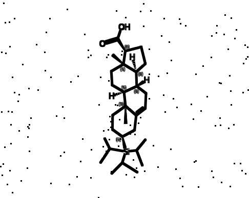 CC(C)[Si](C(C)C)(C(C)C)[C@H]1CC[C@@]2(C)C(=CC[C@H]3[C@@H]4CC[C@H](C(=O)O)[C@@]4(C)CC[C@@H]32)C1